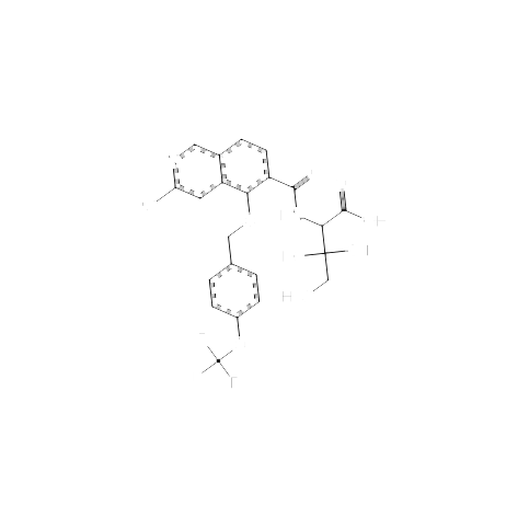 CCC(C)(C)C(NC(=O)c1ccc2cnc(Cl)cc2c1OCc1ccc(OC(F)(F)F)cc1)C(=O)O